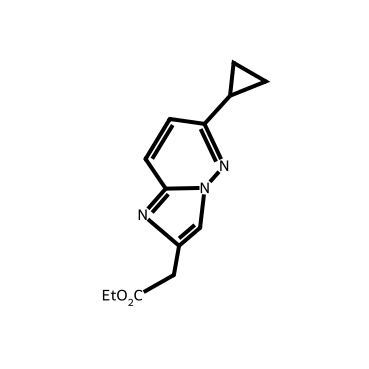 CCOC(=O)Cc1cn2nc(C3CC3)ccc2n1